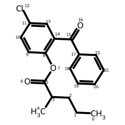 CCCC(C)C(=O)Oc1ccc(Cl)cc1C(=O)c1ccccc1